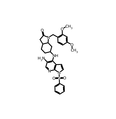 COc1ccc(CN2C(=O)CC3CCC(Nc4c(N)cnc5c4ccn5S(=O)(=O)c4ccccc4)CC32)c(OC)c1